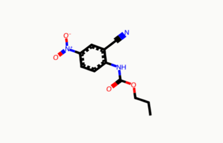 CCCOC(=O)Nc1ccc([N+](=O)[O-])cc1C#N